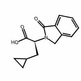 O=C(O)[C@H](CC1CC1)N1Cc2ccccc2C1=O